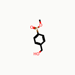 COS(=O)c1ccc(CO)cc1